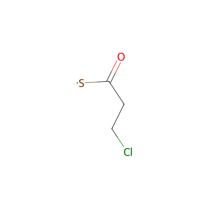 O=C([S])CCCl